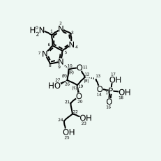 Nc1ncnc2c1ncn2[C@@H]1O[C@H](COP(=O)(O)O)[C@@H](OCC(O)CO)[C@H]1O